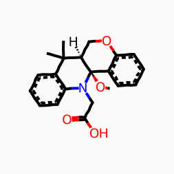 CO[C@]12c3ccccc3OC[C@@H]1C(C)(C)c1ccccc1N2CC(=O)O